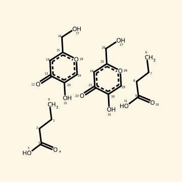 CCCC(=O)O.CCCC(=O)O.O=c1cc(CO)occ1O.O=c1cc(CO)occ1O